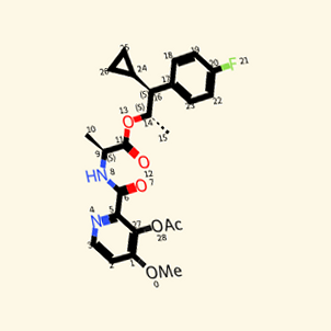 COc1ccnc(C(=O)N[C@@H](C)C(=O)O[C@@H](C)[C@H](c2ccc(F)cc2)C2CC2)c1OC(C)=O